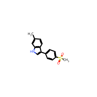 Cc1ccc2c(-c3ccc(S(C)(=O)=O)cc3)c[nH]c2c1